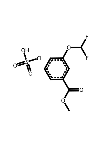 COC(=O)c1cccc(OC(F)F)c1.O=S(=O)(O)Cl